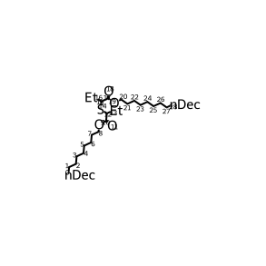 CCCCCCCCCCCCCCCCCCOC(=O)C(CC)SC(CC)C(=O)OCCCCCCCCCCCCCCCCCC